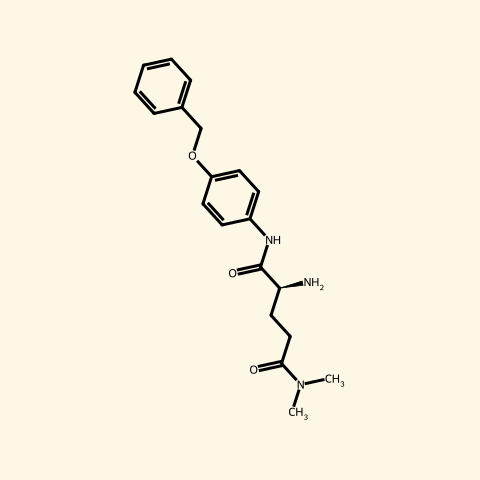 CN(C)C(=O)CC[C@H](N)C(=O)Nc1ccc(OCc2ccccc2)cc1